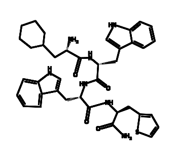 NC(=O)[C@H](Cc1cccs1)NC(=O)[C@H](Cc1c[nH]c2ccccc12)NC(=O)[C@@H](Cc1c[nH]c2ccccc12)NC(=O)[C@@H](N)CC1CCCCC1